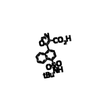 CC(C)(C)NS(=O)(=O)c1ccc(-c2ocnc2C(=O)O)c2ccccc12